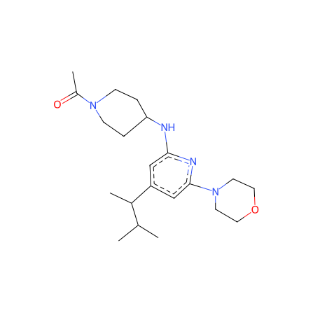 CC(=O)N1CCC(Nc2cc(C(C)C(C)C)cc(N3CCOCC3)n2)CC1